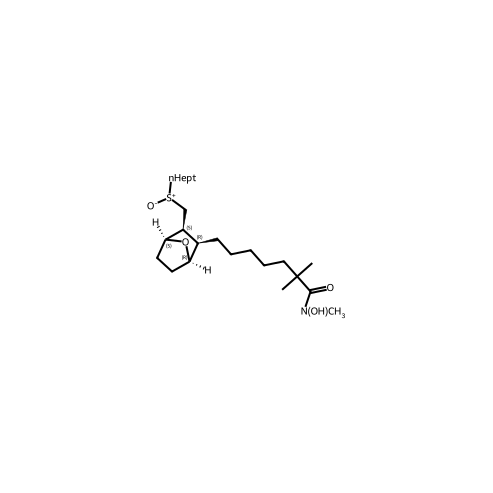 CCCCCCC[S+]([O-])C[C@H]1[C@@H](CCCCCC(C)(C)C(=O)N(C)O)[C@H]2CC[C@@H]1O2